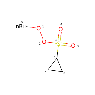 CCCCOOS(=O)(=O)C1CC1